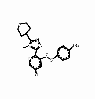 Cn1c(-c2ncc(Cl)cc2NSc2ccc(C(C)(C)C)cc2)nnc1C1CCNCC1